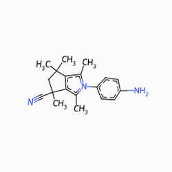 Cc1c2c(c(C)n1-c1ccc(N)cc1)C(C)(C#N)CC2(C)C